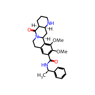 COc1c(C(=O)N[C@H](C)c2ccccc2)cc2c(c1OC)[C@@H]1C[C@@H]3NCCC[C@@H]3C(=O)N1CC2